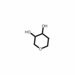 OC1[C]COCC1O